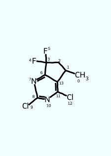 CC1CC(F)(F)c2nc(Cl)nc(Cl)c21